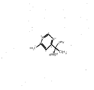 CCCCCCCC(C)(CCC)c1cc(C)ncn1